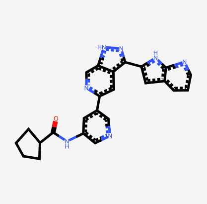 O=C(Nc1cncc(-c2cc3c(-c4cc5cccnc5[nH]4)n[nH]c3cn2)c1)C1CCCC1